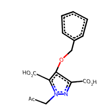 CC(=O)Cn1nc(C(=O)O)c(OCc2ccccc2)c1C(=O)O